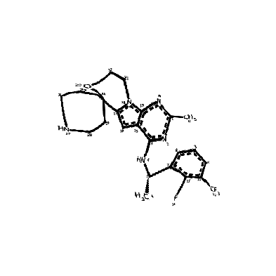 Cc1nc(N[C@H](C)c2cccc(C(F)(F)F)c2F)c2cc3n(c2n1)CCOC31CCNCC1